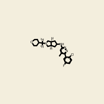 [2H]C([2H])(C1CCOCC1)N1C[C@H]2CC(Nc3cc(C)c(-c4cc(F)ccc4Cl)nn3)C[C@H]2C1